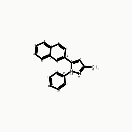 Cc1cc(-c2ccc3ccccc3c2)n(-c2ccccc2)n1